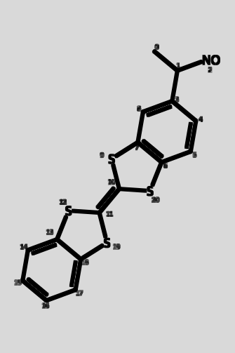 CC(N=O)c1ccc2c(c1)SC(=C1Sc3ccccc3S1)S2